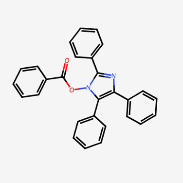 O=C(On1c(-c2ccccc2)nc(-c2ccccc2)c1-c1ccccc1)c1ccccc1